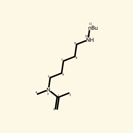 C=C(C)N(C)CCCCCNCCCC